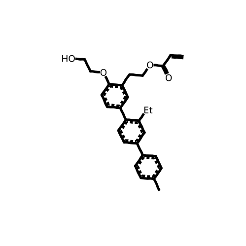 C=CC(=O)OCCc1cc(-c2ccc(-c3ccc(C)cc3)cc2CC)ccc1OCCO